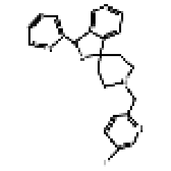 Fc1ccc(CN2CCC3(CC2)OC(c2ccccn2)c2ccccc23)nc1